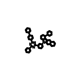 c1ccc(-c2ccc(-c3nc(-c4ccccc4)nc(-c4cccc(-n5c6cc7ccccc7cc6c6c(-c7ccccc7)cccc65)c4)n3)cc2)cc1